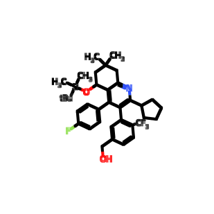 CC1(C)Cc2nc(C3CCCC3)c(-c3cc(CO)ccc3C(F)(F)F)c(-c3ccc(F)cc3)c2C(O[Si](C)(C)C(C)(C)C)C1